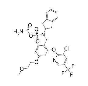 COCCOc1ccc(CN(C2Cc3ccccc3C2)S(=O)(=O)OC(N)=O)c(Oc2ncc(C(F)(F)F)cc2Cl)c1